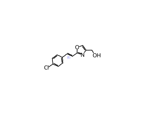 OCc1coc(/C=C/c2ccc(Cl)cc2)n1